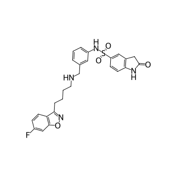 O=C1Cc2cc(S(=O)(=O)Nc3cccc(CNCCCCc4noc5cc(F)ccc45)c3)ccc2N1